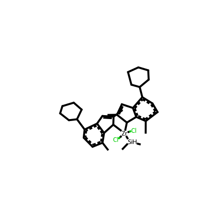 CC1=Cc2c(C3CCCCC3)ccc(C)c2[CH]1[Zr]([Cl])([Cl])([CH]1C(C)=Cc2c(C3CCCCC3)ccc(C)c21)[SiH](C)C